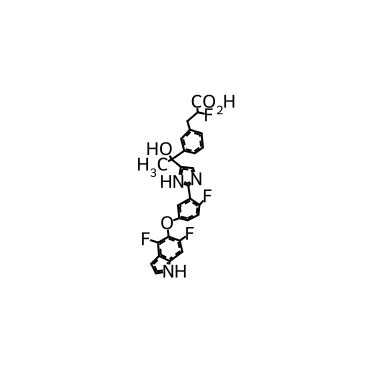 CC(O)(c1cccc(CC(F)C(=O)O)c1)c1cnc(-c2cc(Oc3c(F)cc4[nH]ccc4c3F)ccc2F)[nH]1